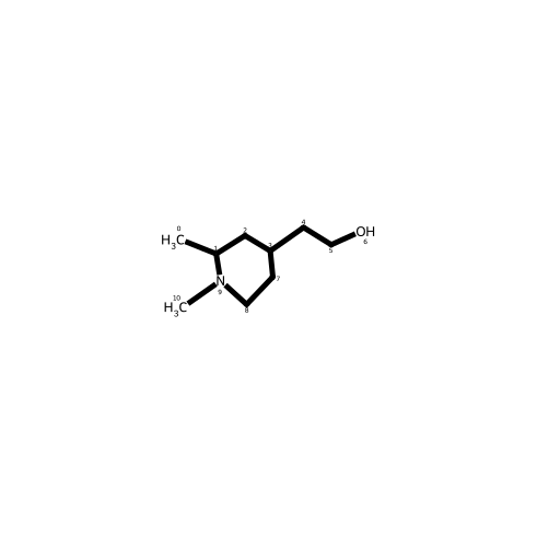 CC1CC(CCO)CCN1C